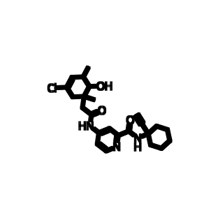 C#CC1(NC(=O)c2cc(NC(=O)CC3(C)CC(Cl)=CC(C)C3O)ccn2)CCCCC1